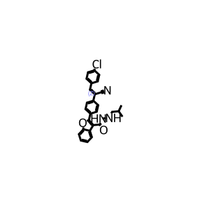 CC(C)CNNC(=O)c1c(-c2ccc(/C(C#N)=C/c3ccc(Cl)cc3)cc2)oc2ccccc12